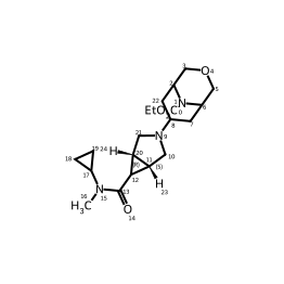 CCOC(=O)N1C2COCC1CC(N1C[C@@H]3C(C(=O)N(C)C4CC4)[C@@H]3C1)C2